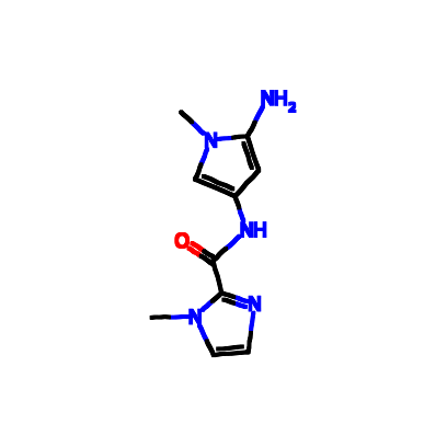 Cn1cc(NC(=O)c2nccn2C)cc1N